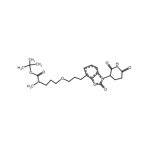 CN(CCCOCCCc1cccc2c1oc(=O)n2C1CCC(=O)NC1=O)C(=O)OC(C)(C)C